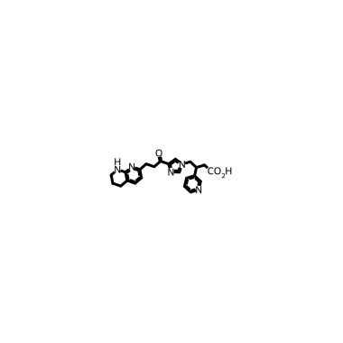 O=C(O)CC(Cn1cnc(C(=O)CCc2ccc3c(n2)NCCC3)c1)c1cccnc1